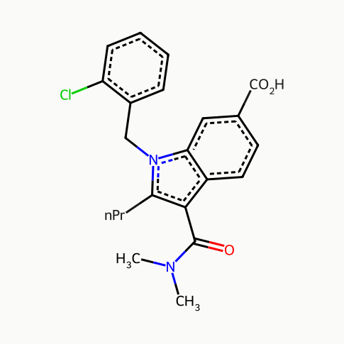 CCCc1c(C(=O)N(C)C)c2ccc(C(=O)O)cc2n1Cc1ccccc1Cl